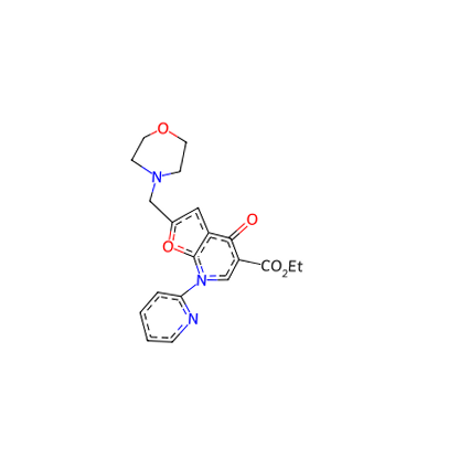 CCOC(=O)c1cn(-c2ccccn2)c2oc(CN3CCOCC3)cc2c1=O